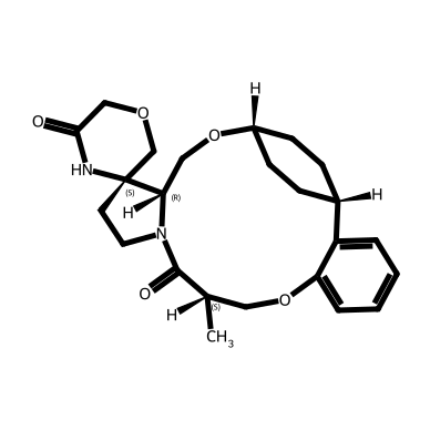 C[C@H]1COc2ccccc2[C@H]2CC[C@H](CC2)OC[C@@H]2N(CC[C@@]23COCC(=O)N3)C1=O